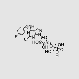 C[C@H](Nc1nc(Cl)nc2c1cnn2[C@@H]1O[C@H](COC(C)(CO)P(=O)(O)O)[C@@H](O)[C@H]1O)c1ccc(F)cc1